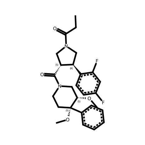 CCC(=O)N1C[C@@H](C(=O)N2CC[C@](OC)(c3ccccc3)[C@@H](OC)C2)[C@H](c2ccc(F)cc2F)C1